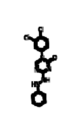 O=c1nc(NNc2ccccc2)ncn1-c1ccc(Cl)c(Cl)c1